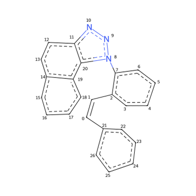 C(=Cc1ccccc1-n1nnc2ccc3ccccc3c21)c1ccccc1